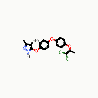 CCCc1c(C)nn(CC)c1Oc1ccc(Oc2ccc(OC(C)=C(Cl)Cl)cc2)cc1